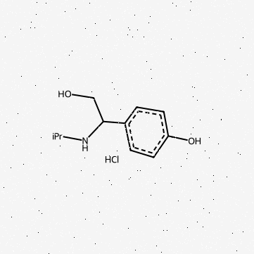 CC(C)NC(CO)c1ccc(O)cc1.Cl